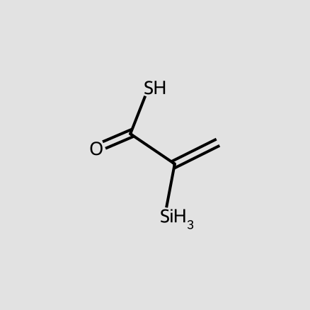 C=C([SiH3])C(=O)S